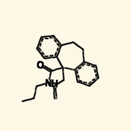 C=CCC1(C(=O)NCCC)c2ccccc2CCc2ccccc21